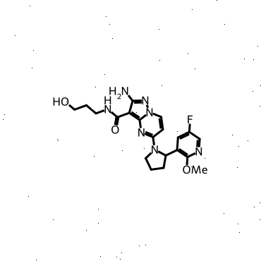 COc1ncc(F)cc1C1CCCN1c1ccn2nc(N)c(C(=O)NCCCO)c2n1